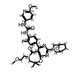 COCCN1CC(C)(C)Oc2nc(N3CC4CCC(C3)O4)nc(-c3ccc(NC(=O)Nc4ccc(OC)nc4)c(F)c3)c2C1=O